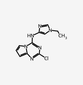 CCn1cnc(Nc2nc(Cl)nc3cccn23)c1